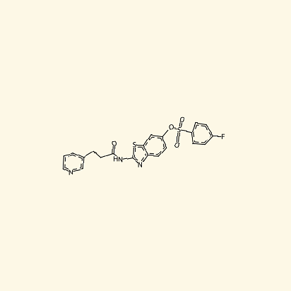 O=C(CCc1cccnc1)Nc1nc2ccc(OS(=O)(=O)c3ccc(F)cc3)cc2s1